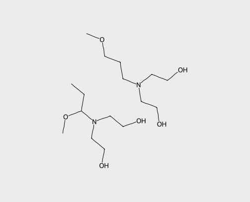 CCC(OC)N(CCO)CCO.COCCCN(CCO)CCO